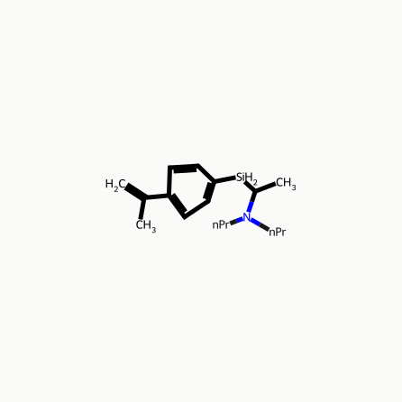 C=C(C)c1ccc([SiH2]C(C)N(CCC)CCC)cc1